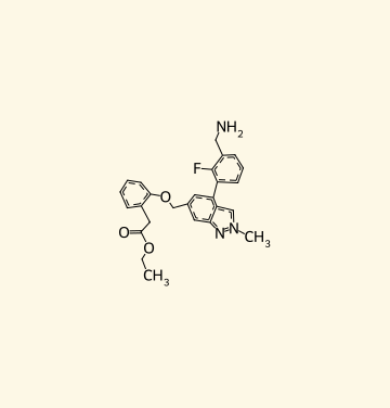 CCOC(=O)Cc1ccccc1OCc1cc(-c2cccc(CN)c2F)c2cn(C)nc2c1